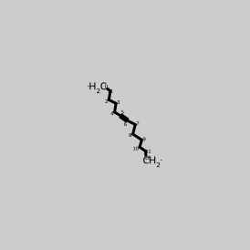 [CH2]CCCCC#CCCCCC[CH2]